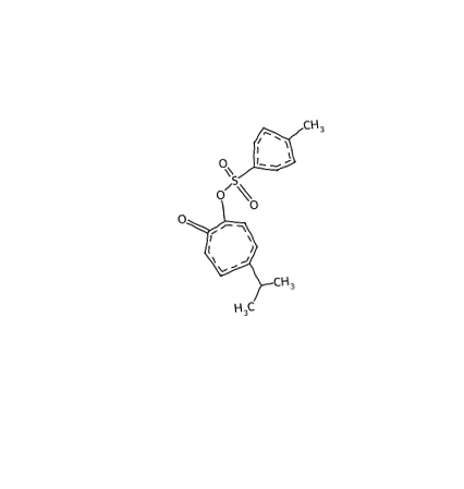 Cc1ccc(S(=O)(=O)Oc2ccc(C(C)C)ccc2=O)cc1